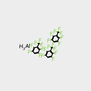 Fc1cc(F)c(F)c(C(F)(F)F)c1F.Fc1cc(F)c(F)c(C(F)(F)F)c1F.Fc1cc(F)c(F)c(C(F)(F)F)c1F.[AlH3]